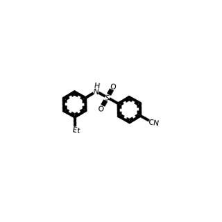 CCc1cccc(NS(=O)(=O)c2ccc(C#N)cc2)c1